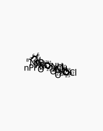 CCCN(c1nc(C)cc(C)n1)S(=O)(=O)c1ccc(NC(=O)NC(=O)c2ccc(Cl)cc2Cl)cc1